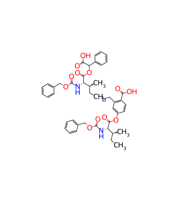 CC[C@H](C)[C@H](NC(=O)OCc1ccccc1)C(=O)OC(C(=O)O)c1ccccc1.CC[C@H](C)[C@H](NC(=O)OCc1ccccc1)C(=O)Oc1ccc(C(=O)O)c(CI)c1